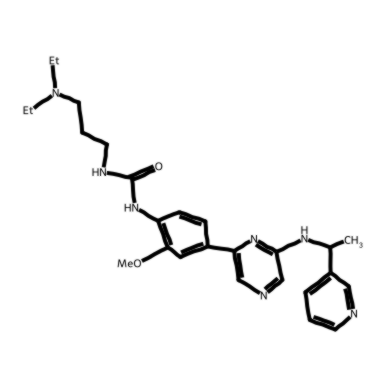 CCN(CC)CCCNC(=O)Nc1ccc(-c2cncc(NC(C)c3cccnc3)n2)cc1OC